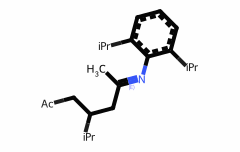 CC(=O)CC(C/C(C)=N/c1c(C(C)C)cccc1C(C)C)C(C)C